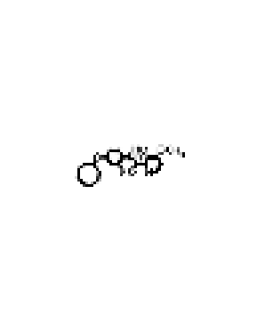 COc1ccnc(C(=O)Nc2ccc(OC3CCCCCCC3)cc2F)c1O